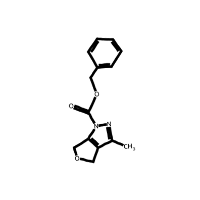 Cc1nn(C(=O)OCc2ccccc2)c2c1COC2